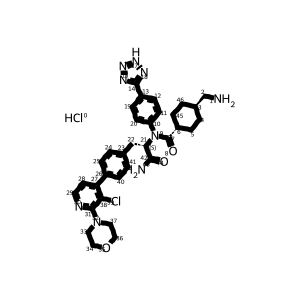 Cl.NC[C@H]1CC[C@H](C(=O)N(c2ccc(-c3nn[nH]n3)cc2)[C@@H](Cc2ccc(-c3ccnc(N4CCOCC4)c3Cl)cc2)C(N)=O)CC1